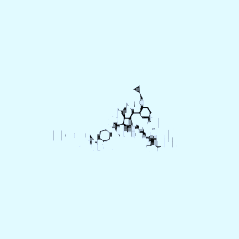 Cc1ccc(OCC2CC2)c(-c2ncnc3c(C(=O)N[C@H]4CC[C@@H](N(C(=O)O)C(C)(C)C)CC4)c(C)n(COCC[Si](C)(C)C)c23)c1